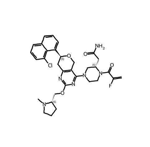 C=C(F)C(=O)N1CCN(c2nc(OC[C@@H]3CCCN3C)nc3c2CO[C@H](c2cccc4cccc(Cl)c24)C3)C[C@@H]1CC(N)=O